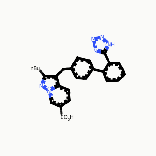 CCCCc1nn2cc(C(=O)O)ccc2c1Cc1ccc(-c2ccccc2-c2nnn[nH]2)cc1